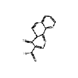 O=C(O)C1=CN=C2c3ncccc3C=CC2C1=O